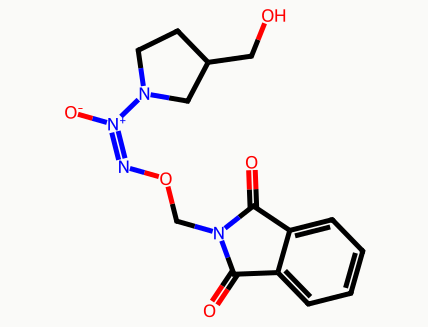 O=C1c2ccccc2C(=O)N1CO/N=[N+](/[O-])N1CCC(CO)C1